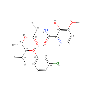 COc1ccnc(C(=O)N[C@@H](C)C(=O)O[C@@H](C)[C@@H](Oc2cccc(Cl)c2)C(C)C)c1O